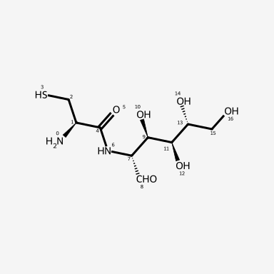 N[C@@H](CS)C(=O)N[C@@H](C=O)[C@@H](O)[C@H](O)[C@H](O)CO